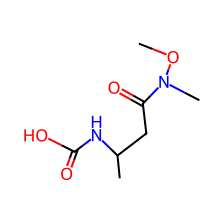 CON(C)C(=O)CC(C)NC(=O)O